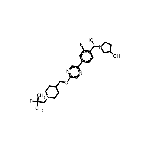 CC(C)(F)CN1CCC(COc2cnc(-c3ccc([C@H](O)N4CCC(O)C4)c(F)c3)cn2)CC1